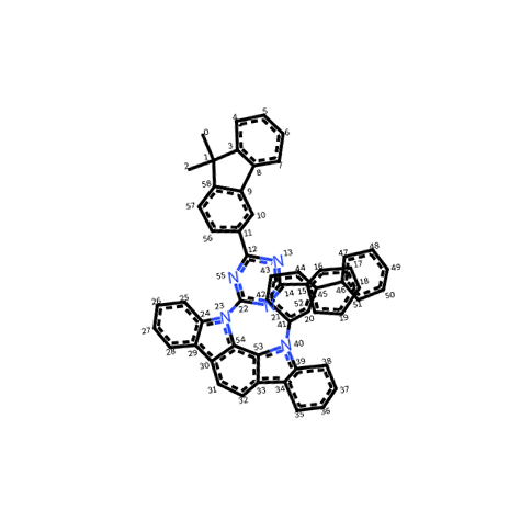 CC1(C)c2ccccc2-c2cc(-c3nc(-c4ccccc4)nc(-n4c5ccccc5c5ccc6c7ccccc7n(-c7cccc(-c8ccccc8)c7)c6c54)n3)ccc21